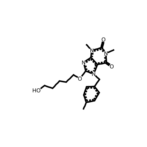 Cc1ccc(Cn2c(OCCCCCO)nc3c2c(=O)n(C)c(=O)n3C)cc1